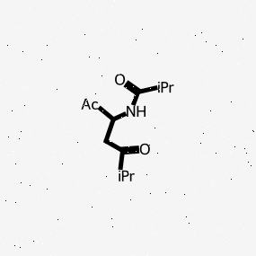 CC(=O)C(CC(=O)C(C)C)NC(=O)C(C)C